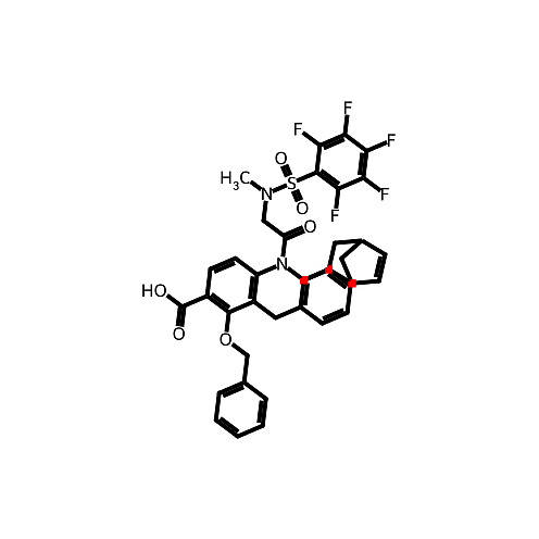 CN(CC(=O)N(CC1CC2C=CC1C2)c1ccc(C(=O)O)c(OCc2ccccc2)c1Cc1ccccc1)S(=O)(=O)c1c(F)c(F)c(F)c(F)c1F